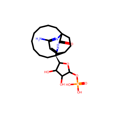 NC1=N\C23CCCCCCCC[C@](C4OC(OP(=O)(O)O)C(O)C4O)(NC2=O)C(/C=C\1)CC3